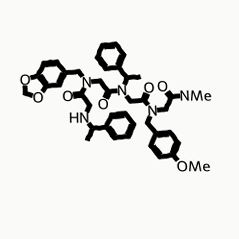 CNC(=O)CN(Cc1ccc(OC)cc1)C(=O)CN(C(=O)CN(Cc1ccc2c(c1)OCO2)C(=O)CNC(C)c1ccccc1)C(C)c1ccccc1